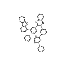 c1ccc(-c2nc(-c3ccccc3)nc(-c3cccc(-c4nc5ccccc5nc4-c4cccc(-c5cccc6c5oc5ccccc56)c4)c3)n2)cc1